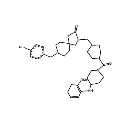 COC1=C(NC2CCN(C(=O)C3CCC(CN4CC5(CCN(Cc6ccc(C#N)cc6)CC5)OC4=O)CC3)CC2)C=CCC1